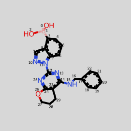 OB(O)c1cccc2c1cnn2-c1nc(NCc2ccccc2)c2c(n1)OCCC2